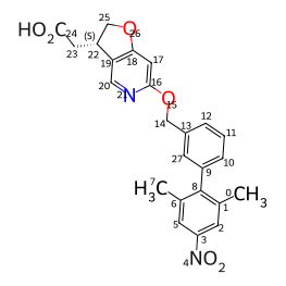 Cc1cc([N+](=O)[O-])cc(C)c1-c1cccc(COc2cc3c(cn2)[C@H](CC(=O)O)CO3)c1